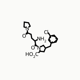 NC(CCC(=O)N1CCCC1)C(=O)N1CC(Cc2cccc(Cl)c2)CC1C(=O)O